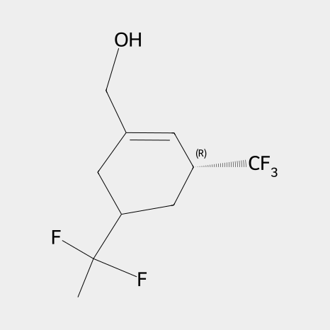 CC(F)(F)C1CC(CO)=C[C@H](C(F)(F)F)C1